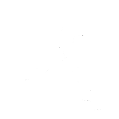 COc1ccc(OC=C(C)C(=Nc2ccc(C)c(C)c2)Oc2cccc(OC)c2)cc1